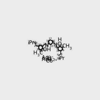 CC(=O)[O-].CC(=O)[O-].Cc1cc(CCC(C)C)cc(C=Nc2cccc(N=Cc3cc(CCC(C)C)cc(C)c3O)c2)c1O.[Co+2]